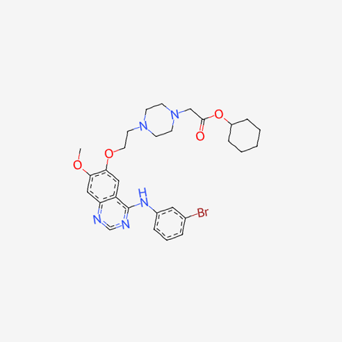 COc1cc2ncnc(Nc3cccc(Br)c3)c2cc1OCCN1CCN(CC(=O)OC2CCCCC2)CC1